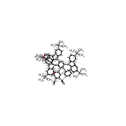 CC(C)(C)c1ccc2c(c1)c1cc(C(C)(C)C)ccc1n2-c1nc(-n2c3ccc(C(C)(C)C)cc3c3cc(C(C)(C)C)ccc32)c(-n2c3ccc(C(C)(C)C)cc3c3cc(C(C)(C)C)ccc32)c(-c2ccc(C#N)c(C#N)c2)c1-c1ccccc1